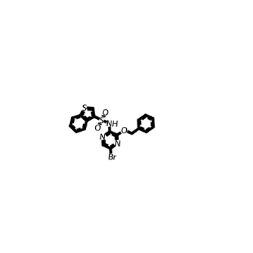 O=S(=O)(Nc1ncc(Br)nc1OCc1ccccc1)c1csc2ccccc12